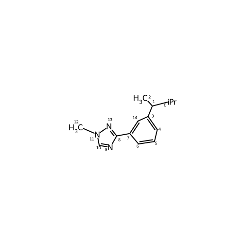 CC(C)C(C)c1cccc(-c2ncn(C)n2)c1